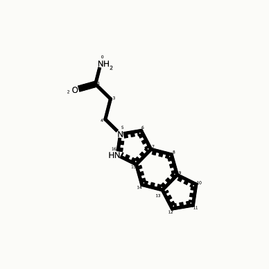 NC(=O)CCn1cc2cc3cccc3cc2[nH]1